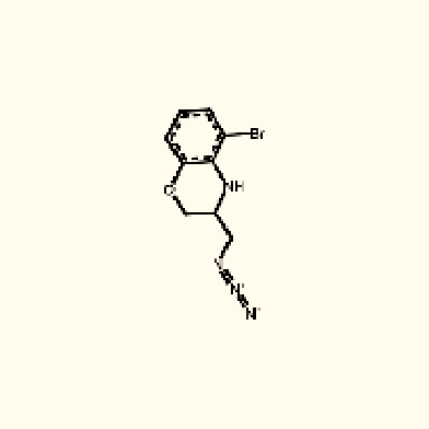 [N-]=[N+]=NCC1COc2cccc(Br)c2N1